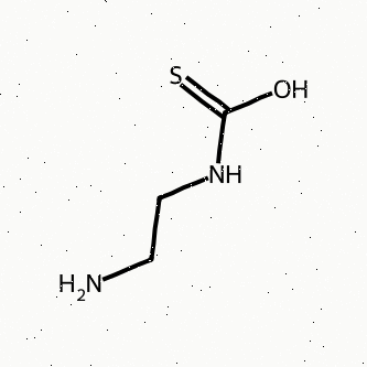 NCCNC(O)=S